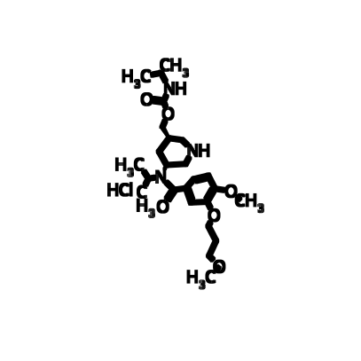 COCCCOc1cc(C(=O)N(C(C)C)[C@H]2CNC[C@H](COC(=O)NC(C)C)C2)ccc1OC.Cl